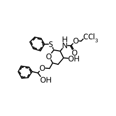 O=C(NC1C(O)CC(COC(O)c2ccccc2)O[C@H]1Sc1ccccc1)OCC(Cl)(Cl)Cl